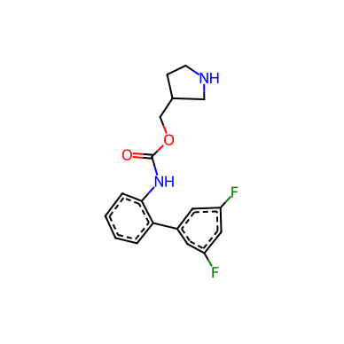 O=C(Nc1ccccc1-c1cc(F)cc(F)c1)OCC1CCNC1